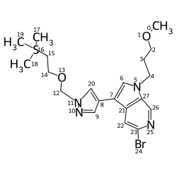 COCCCn1cc(-c2cnn(COCCS(C)(C)C)c2)c2cc(Br)ncc21